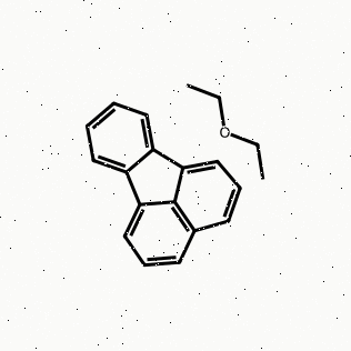 CCOCC.c1ccc2c(c1)-c1cccc3cccc-2c13